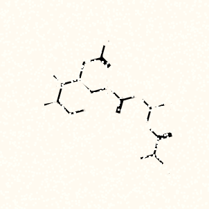 CC[C@@H](C)[C@@H](C)[C@H](CNC(=O)O[C@@H](C)OC(=O)C(C)C)CC(=O)O